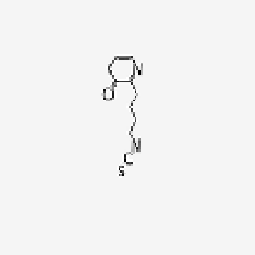 O=C1CC=CN=C1CCCCN=C=S